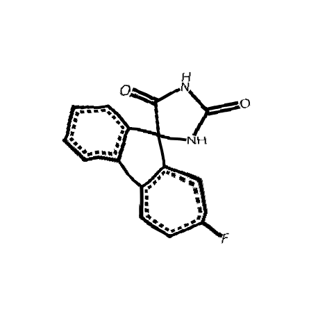 O=C1NC(=O)C2(N1)c1ccccc1-c1ccc(F)cc12